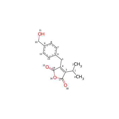 CC(C)C1=C(Cc2ccc(CO)cc2)C(=O)OC1=O